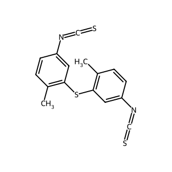 Cc1ccc(N=C=S)cc1Sc1cc(N=C=S)ccc1C